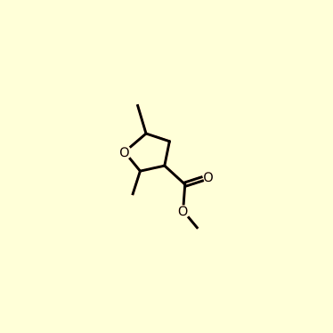 COC(=O)C1CC(C)OC1C